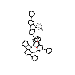 CC1(C)c2cc(-c3ccccc3)ccc2-c2ccc(-c3nc4cccc(-n5c6ccccc6c6ccc7c8ccccc8n(-c8nc(-c9ccccc9)nc(-c9ccccc9)n8)c7c65)c4o3)cc21